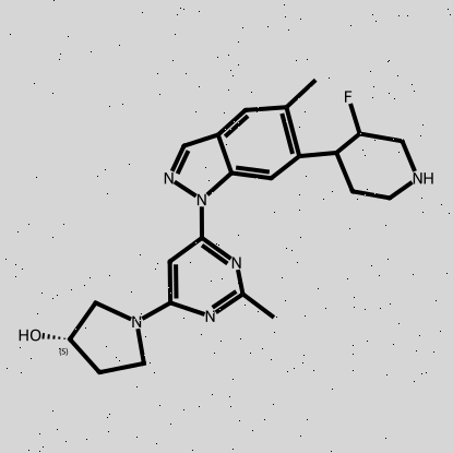 Cc1nc(N2CC[C@H](O)C2)cc(-n2ncc3cc(C)c(C4CCNCC4F)cc32)n1